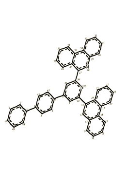 c1ccc(-c2ccc(-c3cc(-c4cc5ccccc5c5ccccc45)nc(-c4nc5ccccc5c5ccccc45)c3)cc2)cc1